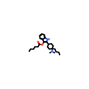 CCCCCC(=O)Oc1c(C2CCC(CCCC)(N(C)C)CC2)[nH]c2ccccc12